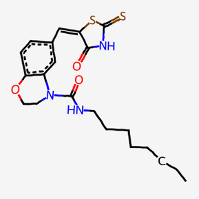 CCCCCCCCNC(=O)N1CCOc2ccc(C=C3SC(=S)NC3=O)cc21